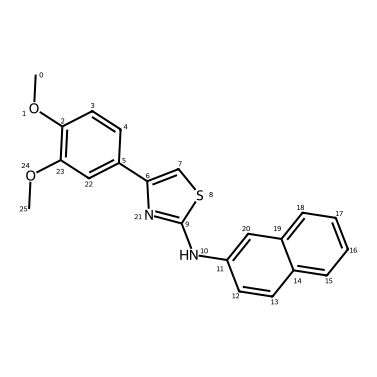 COc1ccc(-c2csc(Nc3ccc4ccccc4c3)n2)cc1OC